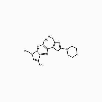 CCC(C)n1cc(C)c2nc(C3=C(C)N=C(N4CCOCC4)C3)c(C)nc21